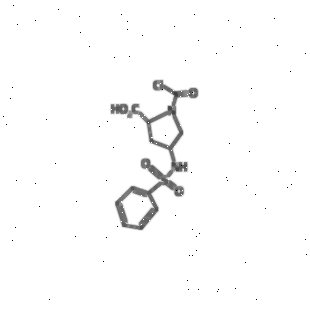 O=C(O)C1CC(NS(=O)(=O)c2ccccc2)CN1C(=O)Cl